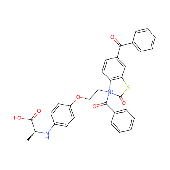 C[C@H](Nc1ccc(OCC[N+]2(C(=O)c3ccccc3)C(=O)Sc3cc(C(=O)c4ccccc4)ccc32)cc1)C(=O)O